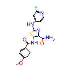 COC1=CC=C(C(=O)NC2SC(Nc3ccnc(F)c3)=NC2C(N)=O)CC1